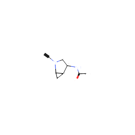 C#CN1CC(NC(=O)C(C)(C)C)C2CC21